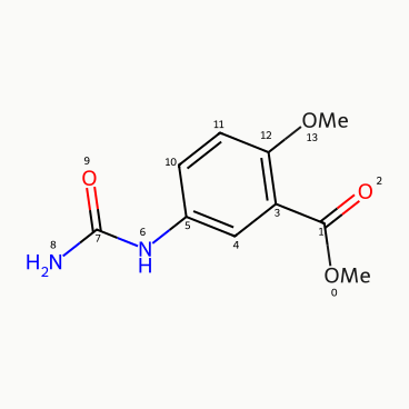 COC(=O)c1cc(NC(N)=O)ccc1OC